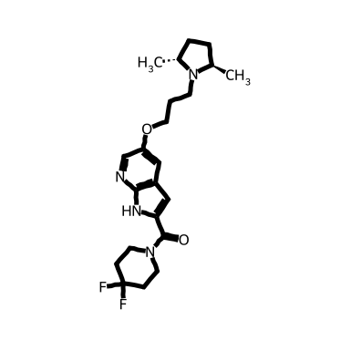 C[C@@H]1CC[C@@H](C)N1CCCOc1cnc2[nH]c(C(=O)N3CCC(F)(F)CC3)cc2c1